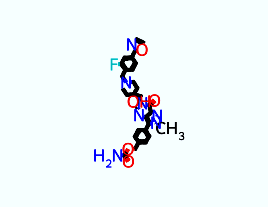 Cn1nc2c(=O)n(CC3(O)CCN(Cc4ccc(-c5ncco5)cc4F)CC3)cnc2c1-c1ccc(COC(N)=O)cc1